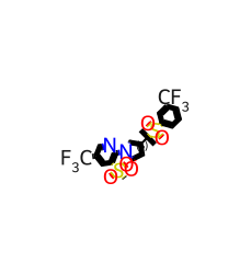 CC(C)([C@H]1CC(=O)N(c2ncc(C(F)(F)F)cc2S(C)(=O)=O)C1)S(=O)(=O)c1cccc(C(F)(F)F)c1